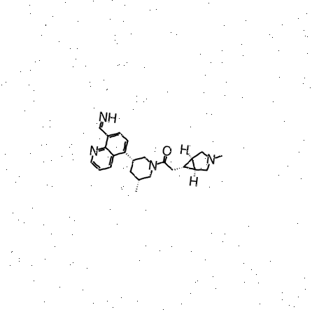 C[C@@H]1C[C@H](c2ccc(C=N)c3ncccc23)CN(C(=O)C[C@@H]2[C@H]3CN(C)C[C@@H]23)C1